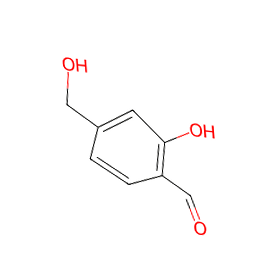 O=Cc1ccc(CO)cc1O